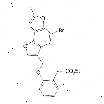 CCOC(=O)Cc1ccccc1OCc1coc2c1cc(Br)c1oc(C)cc12